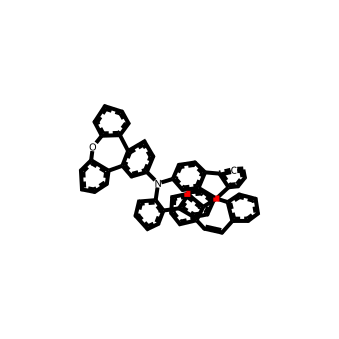 C1=Cc2ccccc2C2(c3ccccc31)c1ccccc1-c1ccc(N(c3ccc4c(c3)-c3ccccc3Oc3ccccc3-4)c3ccccc3-c3ccccc3)cc12